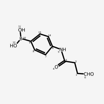 O=CCCC(=O)Nc1ccc(B(O)O)cc1